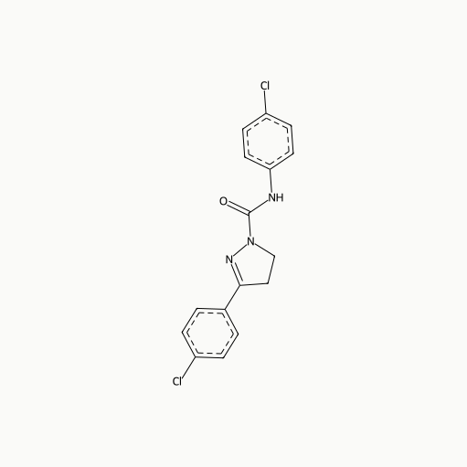 O=C(Nc1ccc(Cl)cc1)N1CCC(c2ccc(Cl)cc2)=N1